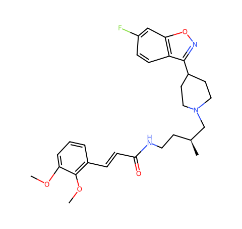 COc1cccc(/C=C/C(=O)NCC[C@H](C)CN2CCC(c3noc4cc(F)ccc34)CC2)c1OC